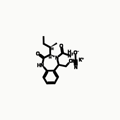 CC[C@H](C)[C@H]1C(=O)Nc2ccccc2C(CO)N1C(N)=O.N#C[O-].[K+]